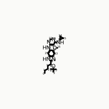 CCCCC(OC(C)(C)C)c1nc2cc(OC)c(Nc3cc(NC4CC4)ncn3)cc2[nH]1